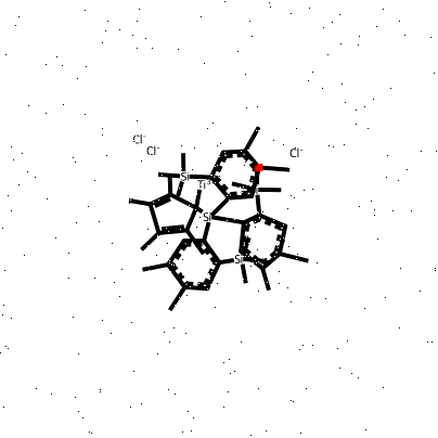 CC1=C(C)[C]([Ti+3])([Si](c2cc(C)c(C)cc2[Si](C)(C)C)(c2cc(C)c(C)cc2[Si](C)(C)C)c2cc(C)c(C)cc2[Si](C)(C)C)C(C)=C1C.[Cl-].[Cl-].[Cl-]